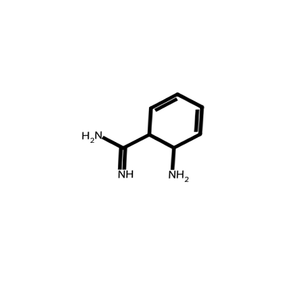 N=C(N)C1C=CC=CC1N